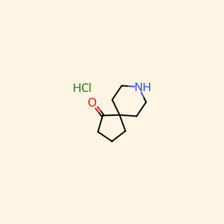 Cl.O=C1CCCC12CCNCC2